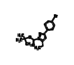 CCc1cc(-c2ccc(Br)cc2)nn1C(=O)OC(C)(C)C